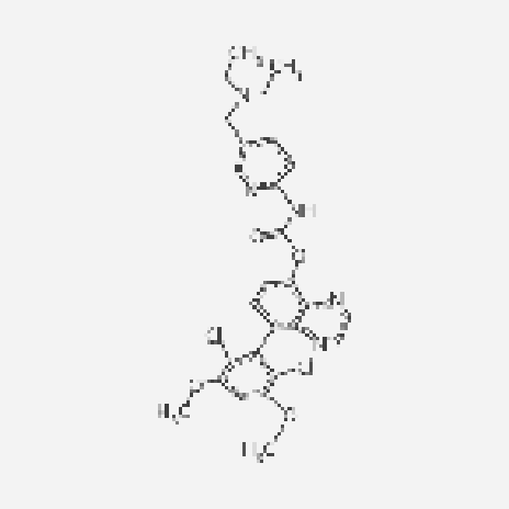 CCN(CC)Cc1ccc(NC(=O)Oc2ccc(-c3c(Cl)c(OC)cc(OC)c3Cl)c3nccnc23)nc1